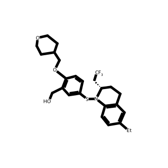 CCc1ccc2c(c1)CC[C@@H](CC(F)(F)F)N2Sc1ccc(OCC2CCOCC2)c(CO)c1